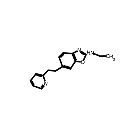 CCNc1nc2ccc(CCc3ccccn3)cc2o1